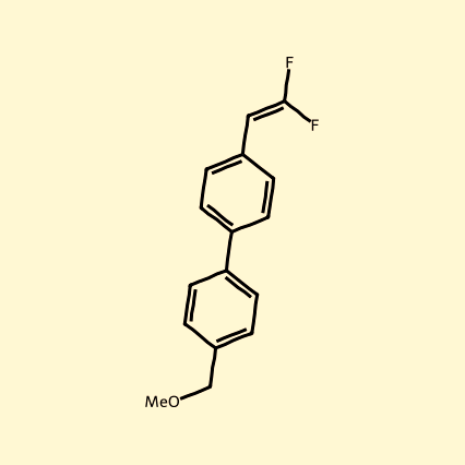 COCc1ccc(-c2ccc(C=C(F)F)cc2)cc1